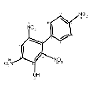 O=[N+]([O-])c1ccc(-c2c([N+](=O)[O-])cc([N+](=O)[O-])c(O)c2[N+](=O)[O-])cc1